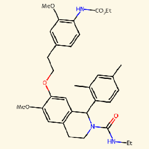 CCNC(=O)N1CCc2cc(OC)c(OCCc3ccc(NC(=O)OCC)c(OC)c3)cc2C1c1ccc(C)cc1C